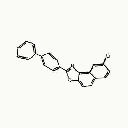 Clc1ccc2ccc3oc(-c4ccc(-c5ccccc5)cc4)nc3c2c1